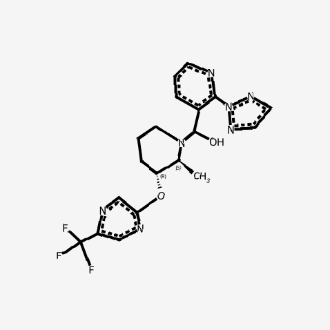 C[C@H]1[C@H](Oc2cnc(C(F)(F)F)cn2)CCCN1C(O)c1cccnc1-n1nccn1